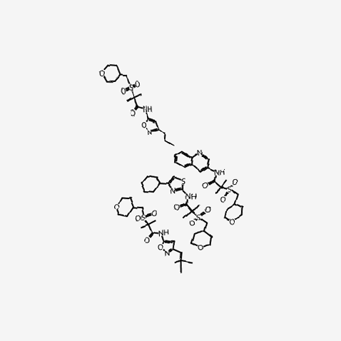 CC(C)(C(=O)Nc1cnc2ccccc2c1)S(=O)(=O)CC1CCOCC1.CC(C)(C(=O)Nc1nc(C2CCCCC2)cs1)S(=O)(=O)CC1CCOCC1.CC(C)(C)Cc1cc(NC(=O)C(C)(C)S(=O)(=O)CC2CCOCC2)on1.CCCc1cc(NC(=O)C(C)(C)S(=O)(=O)CC2CCOCC2)on1